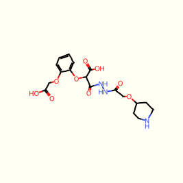 O=C(O)COc1ccccc1OC(C(=O)O)C(=O)NNC(=O)COC1CCNCC1